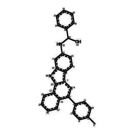 Cc1ccc(-c2nn3c4ccc(NC(O)c5ccccc5)cc4nc3c3ccccc23)cc1